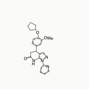 COc1cc(C2CC(=O)Nc3c2cnn3-c2ccccn2)ccc1OC1CCCC1